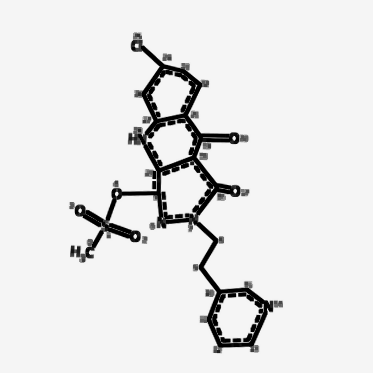 CS(=O)(=O)Oc1nn(CCc2cccnc2)c(=O)c2c(=O)c3ccc(Cl)cc3[nH]c12